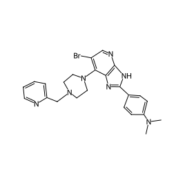 CN(C)c1ccc(-c2nc3c(N4CCN(Cc5ccccn5)CC4)c(Br)cnc3[nH]2)cc1